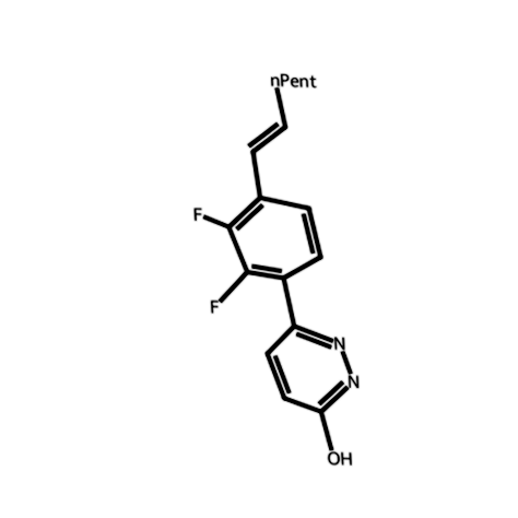 CCCCCC=Cc1ccc(-c2ccc(O)nn2)c(F)c1F